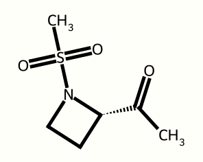 CC(=O)[C@@H]1CCN1S(C)(=O)=O